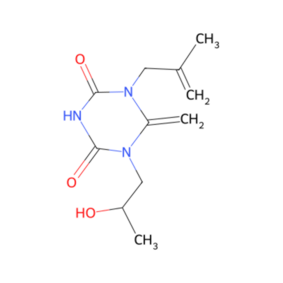 C=C(C)CN1C(=C)N(CC(C)O)C(=O)NC1=O